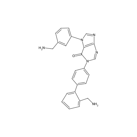 NCc1cccc(-n2cnc3ncn(-c4ccc(-c5ccccc5CN)cc4)c(=O)c32)c1